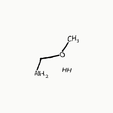 CO[CH2][AlH2].[HH]